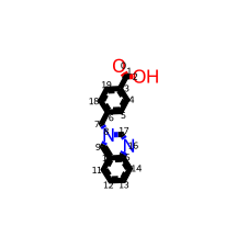 O=C(O)c1ccc(CN2C=c3ccccc3=NC2)cc1